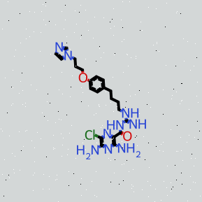 N=C(NCCCCc1ccc(OCCCn2ccnc2)cc1)NC(=O)c1nc(Cl)c(N)nc1N